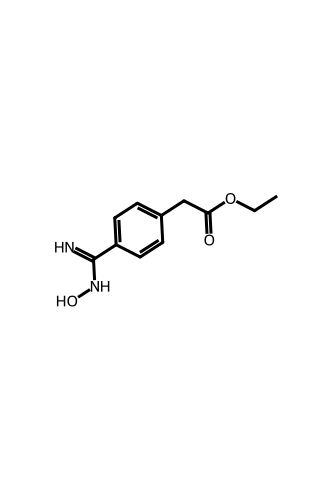 CCOC(=O)Cc1ccc(C(=N)NO)cc1